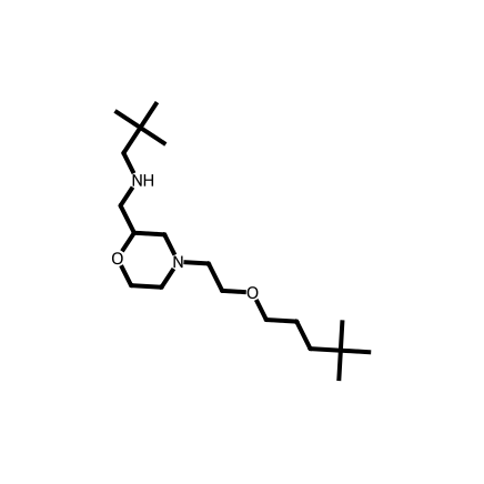 CC(C)(C)CCCOCCN1CCOC(CNCC(C)(C)C)C1